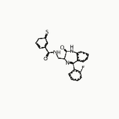 O=C(NCC1N=C(c2ccccc2F)c2ccccc2NC1=O)C1=CC(=S)CC=C1